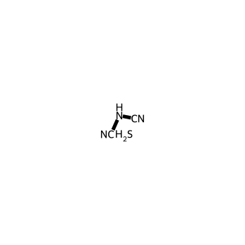 N#CNC#N.S